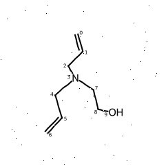 C=CCN(CC=C)CCO